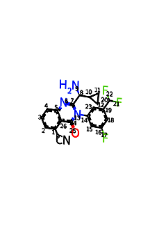 N#Cc1cccc2nc([C@@H](N)C3CC3)n(-c3cc(F)cc(C(F)F)c3)c(=O)c12